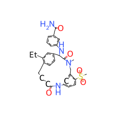 CCc1cc2ccc1CCCC(=O)Nc1ccc(S(C)(=O)=O)c(c1)CN(C)C(=O)C2Nc1cccc(C(N)=O)c1